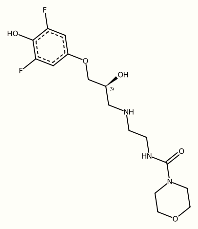 O=C(NCCNC[C@H](O)COc1cc(F)c(O)c(F)c1)N1CCOCC1